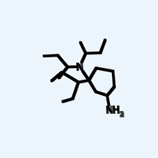 CCC(C)N(C(C)CC)C1(C(CC)CC)CCCC(N)C1